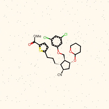 [C-]#[N+][C@@H]1C[C@@H](OC2CCCCO2)[C@H](COc2cc(Cl)cc(Cl)c2)[C@H]1CCCc1ccc(C(=O)OC)s1